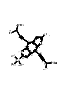 CCCCCCC(C#Cc1c2cc(C)sc2c(C#CC(CC)CCCC)c2cc([Si](C(C)C)(C(C)C)C(C)C)sc12)CC